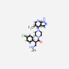 CC(C)NCC(C(=O)N1CCN(c2c(C(F)(F)F)cnc3[nH]ncc23)CC1)c1ccc(Cl)cc1